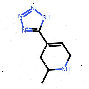 CC1CC(c2nnn[nH]2)=CCN1